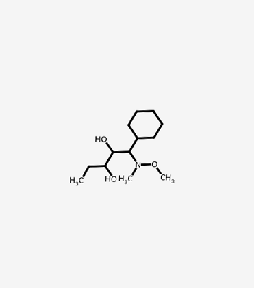 CCC(O)C(O)C(C1CCCCC1)N(C)OC